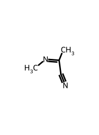 CN=C(C)C#N